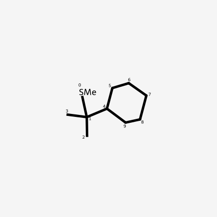 CSC(C)(C)[C]1CCCCC1